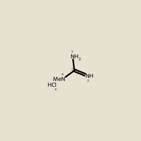 CNC(=N)N.Cl